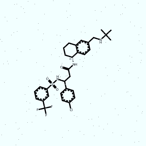 CC(C)(C)NCc1ccc2c(c1)CCC[C@H]2NC(=O)CC(NS(=O)(=O)c1cccc(C(F)(F)F)c1)c1ccc(Cl)cc1